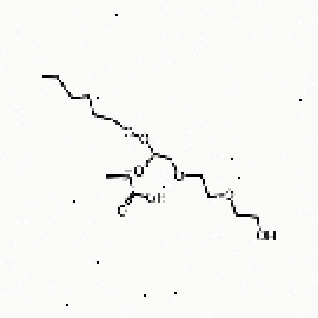 C=CC(=O)O.CCCCCCCOC(O)COCCOCCO